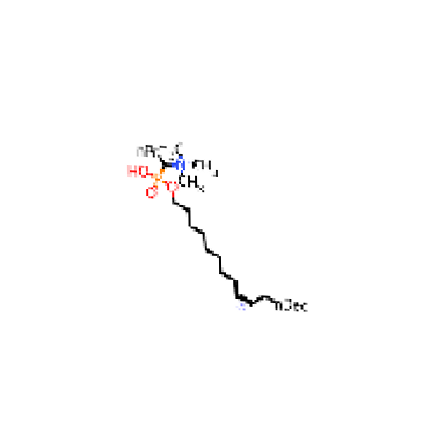 CCCCCCCCCCC/C=C\CCCCCCCCOP(=O)(O)C(CCC)[N+](C)(C)C